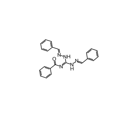 O=C(N=C(NN=Cc1ccccc1)NN=Cc1ccccc1)c1ccccc1